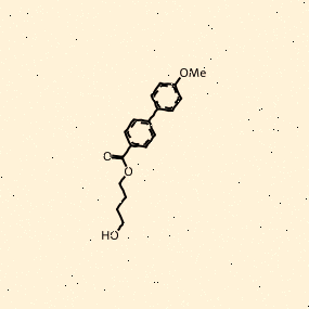 COc1ccc(-c2ccc(C(=O)OCCCCO)cc2)cc1